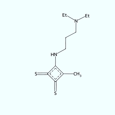 CCN(CC)CCCNc1c(C)c(=S)c1=S